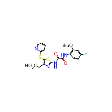 CC(C)COc1cc(F)ccc1NC(=O)C(=O)Nc1nc(CC(=O)O)c(Sc2ccccn2)s1